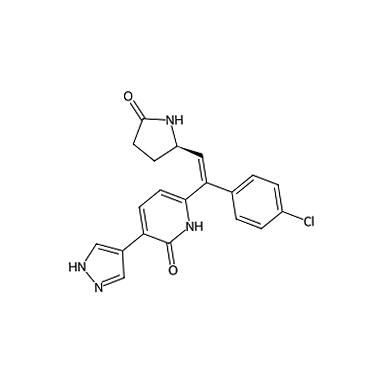 O=C1CC[C@H](C=C(c2ccc(Cl)cc2)c2ccc(-c3cn[nH]c3)c(=O)[nH]2)N1